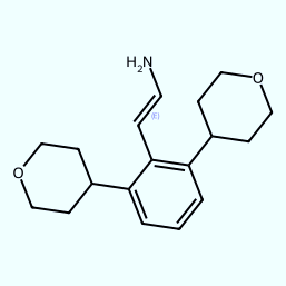 N/C=C/c1c(C2CCOCC2)cccc1C1CCOCC1